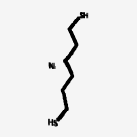 SCCCCCCS.[Ni]